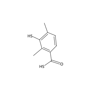 Cc1ccc(C(=O)S)c(C)c1S